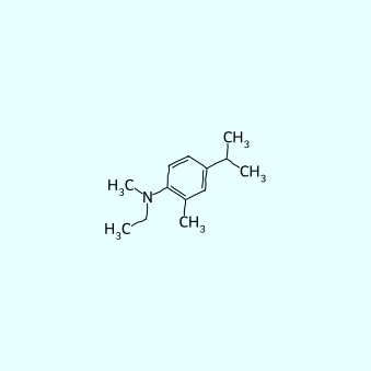 CCN(C)c1ccc(C(C)C)cc1C